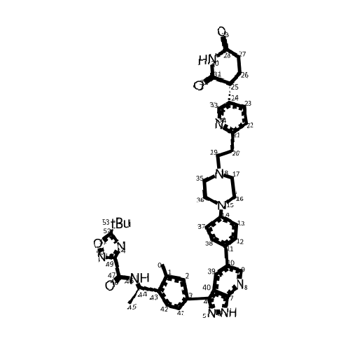 Cc1cc(-c2n[nH]c3ncc(-c4ccc(N5CCN(CCc6ccc([C@H]7CCC(=O)NC7=O)cn6)CC5)cc4)cc23)ccc1[C@@H](C)NC(=O)c1noc(C(C)(C)C)n1